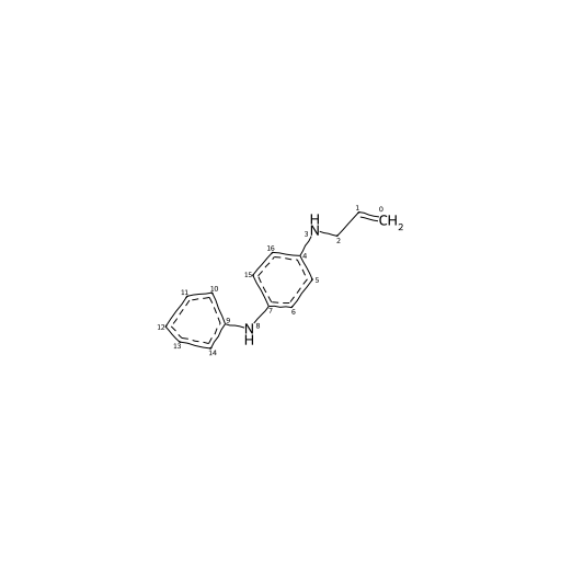 C=CCNc1ccc(Nc2ccccc2)cc1